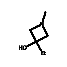 CCC1(O)CN(C)C1